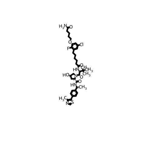 Cc1ncsc1-c1ccc([C@H](C)NC(=O)[C@@H]2C[C@@H](O)CN2C(=O)[C@@H](NC(=O)CCCCCc2cc(Cl)cc(OCCCCC(N)=O)c2F)C(C)(C)C)cc1